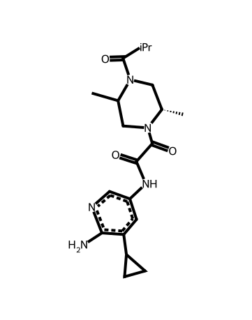 CC(C)C(=O)N1C[C@H](C)N(C(=O)C(=O)Nc2cnc(N)c(C3CC3)c2)CC1C